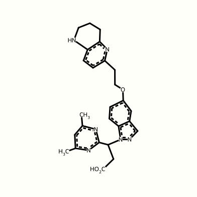 Cc1cc(C)nc(C(CC(=O)O)n2ncc3cc(OCCc4ccc5c(n4)CCCN5)ccc32)n1